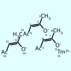 CC(=O)C=C(C)[O-].CC(=O)C=C(C)[O-].CC(=O)C=C(C)[O-].[Tm+3]